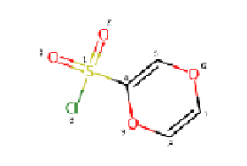 O=S(=O)(Cl)C1=COC=CO1